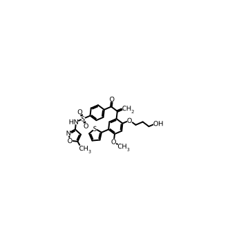 C=C(C(=O)c1ccc(S(=O)(=O)Nc2cc(C)on2)cc1)c1cc(-c2cccs2)c(OC)cc1OCCCO